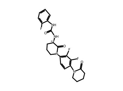 O=C(Nc1ccccc1F)N[C@@H]1CCCN(c2ccc(N3CCCCC3=O)c(F)c2F)C1=O